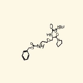 CC(C)(C)OC(=O)NC(COCCNC(=O)OCc1ccccc1)C(=O)N1CCCC1